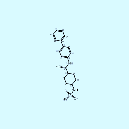 CC(C)S(=O)(=O)NC1CCC(C(=O)Nc2ccc(-c3ccccc3)cc2)CC1